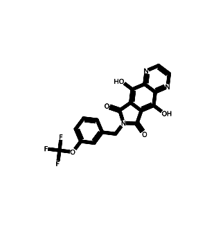 O=C1c2c(c(O)c3nccnc3c2O)C(=O)N1Cc1cccc(OC(F)(F)F)c1